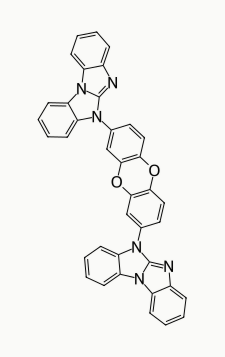 c1ccc2c(c1)nc1n(-c3ccc4c(c3)Oc3cc(-n5c6ccccc6n6c7ccccc7nc56)ccc3O4)c3ccccc3n21